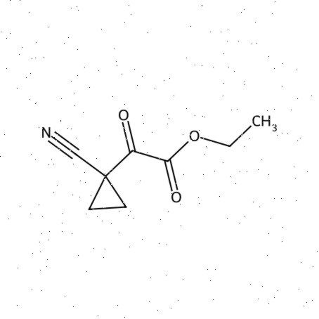 CCOC(=O)C(=O)C1(C#N)CC1